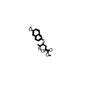 COC(=O)CCC(Sc1ccc2cc(OC)ccc2c1)/C(C)=N\O